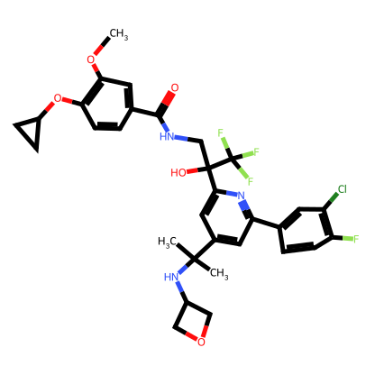 COc1cc(C(=O)NCC(O)(c2cc(C(C)(C)NC3COC3)cc(-c3ccc(F)c(Cl)c3)n2)C(F)(F)F)ccc1OC1CC1